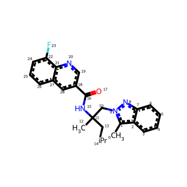 Cc1c2ccccc2nn1CC(C)(CC(C)C)NC(=O)c1cnc2c(F)cccc2c1